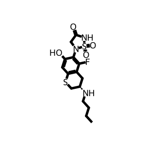 CCCCN[C@@H]1CSc2cc(O)c(N3CC(=O)NS3(=O)=O)c(F)c2C1